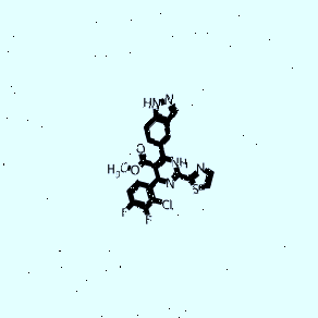 COC(=O)C1=C(C2CCc3[nH]ncc3C2)NC(c2nccs2)=NC1c1ccc(F)c(F)c1Cl